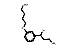 NCCC(O)c1cccc(NCCCCC=O)c1